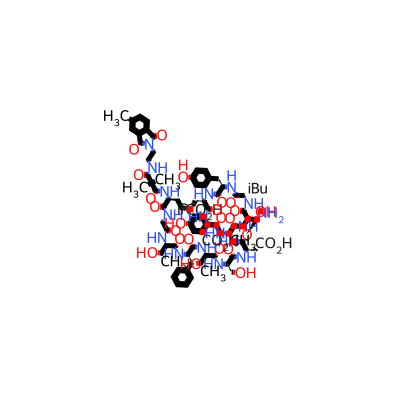 CC[C@H](C)[C@H](NC(=O)[C@H](CO)NC(=O)[C@H](CCc1ccc(O)cc1)NC(=O)[C@H](CC(=O)O)NC(=O)[C@H](CO)NC(=O)[C@@H](NC(=O)[C@H](Cc1ccccc1)NC(=O)[C@@H](NC(=O)CNC(=O)[C@H](CCC(=O)O)NC(=O)C(C)(C)C(=O)NCCN1C(=O)c2ccc(C)cc2C1=O)[C@@H](C)O)[C@@H](C)O)C(=O)N[C@@H](Cc1ccc(O)cc1)C(=O)N[C@@H](CC(C)C)C(=O)N[C@@H](CC(=O)O)C(=O)N[C@H](C)CCCCN